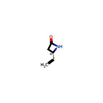 C=C[C@@H]1CC(=O)N1